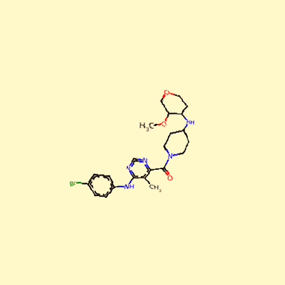 COC1COCCC1NC1CCN(C(=O)c2ncnc(Nc3ccc(Br)cc3)c2C)CC1